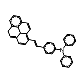 C1=CC(C=Cc2ccc(N(c3ccccc3)c3ccccc3)cc2)=C2C=Cc3cccc4c3C2C1=CC4